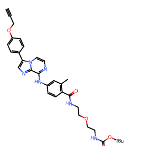 C#CCOc1ccc(-c2cnc3c(Nc4ccc(C(=O)NCCOCCNC(=O)OC(C)(C)C)c(C)c4)nccn23)cc1